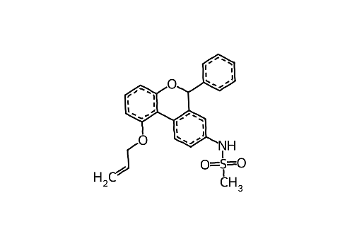 C=CCOc1cccc2c1-c1ccc(NS(C)(=O)=O)cc1C(c1ccccc1)O2